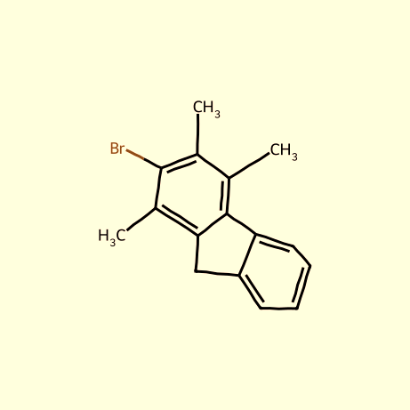 Cc1c(C)c2c(c(C)c1Br)Cc1ccccc1-2